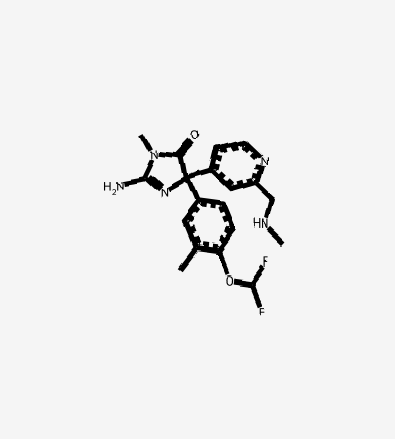 CNCc1cc(C2(c3ccc(OC(F)F)c(C)c3)N=C(N)N(C)C2=O)ccn1